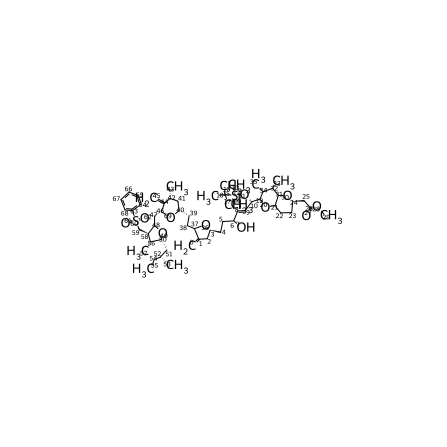 C=C1C[C@H](CCC(O)/C=C/[C@H](O[Si](C)(C)C(C)(C)C)[C@@H]2OC3CC[C@H](CC(=O)OC)OC3[C@H](C)[C@@H]2C)OC1CC[C@H]1C[C@@H](C)C(=C)[C@@H](CC2O[C@H](C[C@H](C)CC)[C@H](C)[C@H]2CS(=O)(=O)c2ccccc2)O1